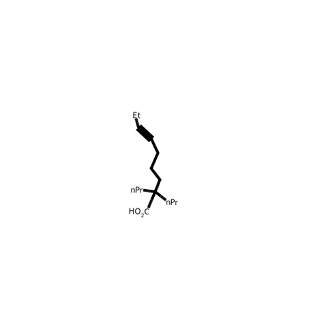 CCC#CCCCC(CCC)(CCC)C(=O)O